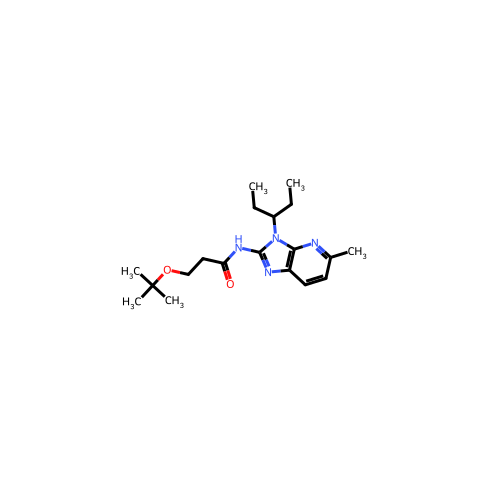 CCC(CC)n1c(NC(=O)CCOC(C)(C)C)nc2ccc(C)nc21